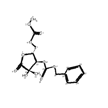 COC(=O)OC[C@H]1OC(=O)[C@@](C)(O)[C@@H]1OC(=O)OCc1ccccc1